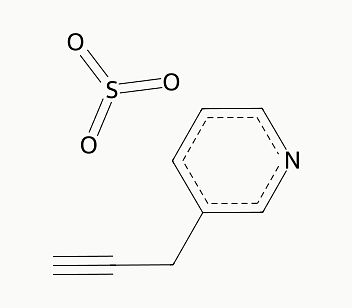 C#CCc1cccnc1.O=S(=O)=O